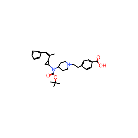 CC(=Cc1ccccc1)C1CC1N(C(=O)OC(C)(C)C)C1CCN(CCc2ccc(C(=O)O)cc2)CC1